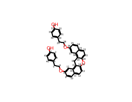 Oc1ccc(CCOc2ccc3ccc4c(c3c2)Cc2c(ccc3ccc(OCCc5ccc(O)cc5)cc23)O4)cc1